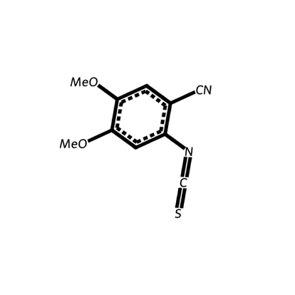 COc1cc(C#N)c(N=C=S)cc1OC